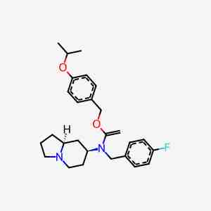 C=C(OCc1ccc(OC(C)C)cc1)N(Cc1ccc(F)cc1)[C@H]1CCN2CCC[C@H]2C1